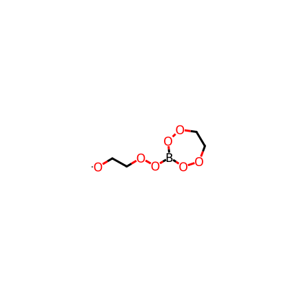 [O]CCOOB1OOCCOO1